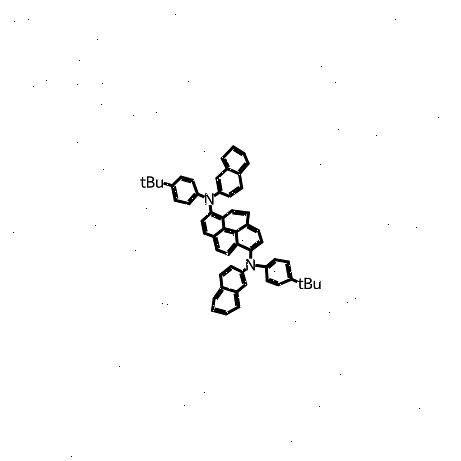 CC(C)(C)c1ccc(N(c2ccc3ccccc3c2)c2ccc3ccc4c(N(c5ccc(C(C)(C)C)cc5)c5ccc6ccccc6c5)ccc5ccc2c3c54)cc1